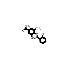 COc1cc(C(N)=O)cc(C)c1OCc1ccccc1Cl